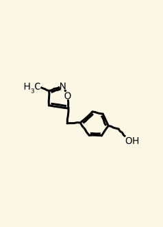 Cc1cc(Cc2ccc(CO)cc2)on1